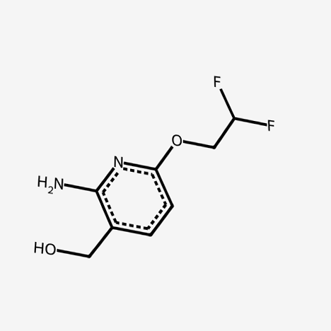 Nc1nc(OCC(F)F)ccc1CO